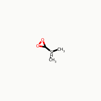 C[SiH](C)C1OO1